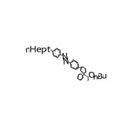 CCCCCCCc1ccc(N=Nc2ccc(OC(=O)C(C)OCCCC)cc2)cc1